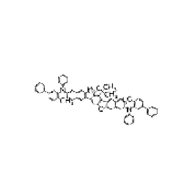 Cc1ccc(-c2ccccc2)cc1N(c1ccccc1)c1ccc2cc3c(cc2c1)oc1c(C(C)(C)C)c2c(cc13)oc1cc3cc(N(c4ccccc4)c4cc(-c5ccccc5)ccc4C)ccc3cc12